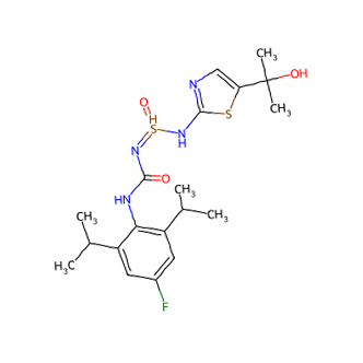 CC(C)c1cc(F)cc(C(C)C)c1NC(=O)/N=[SH](=O)\Nc1ncc(C(C)(C)O)s1